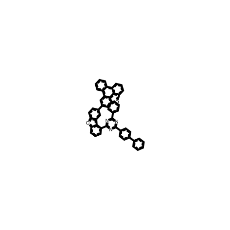 c1ccc(-c2ccc(-c3nc(-c4ccccc4)nc(-c4cccc5oc6ccc(-c7cc8oc9cccc%10c%11ccccc%11c(c7)c8c9%10)cc6c45)n3)cc2)cc1